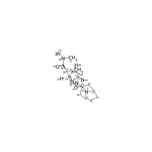 Cc1noc(N2C3CCC2CC(N2C[C@@H]4[C@H](C2)[C@@H]4C(=O)N(C)C(C)C)C3)n1